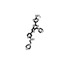 Nc1ncc(-c2nc(N3CCOCC3)c3sc(-c4ccnc(NCCN5CCOCC5)c4)cc3n2)cn1